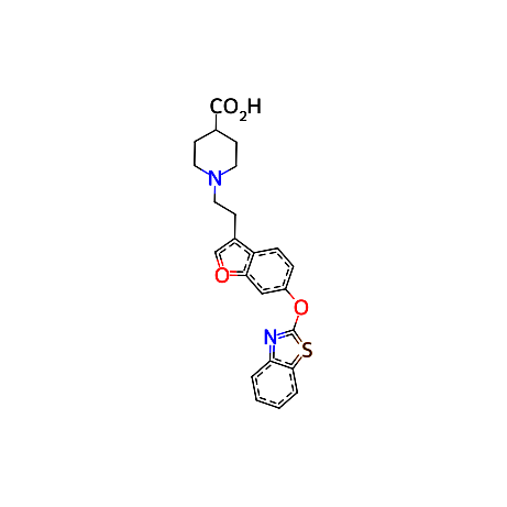 O=C(O)C1CCN(CCc2coc3cc(Oc4nc5ccccc5s4)ccc23)CC1